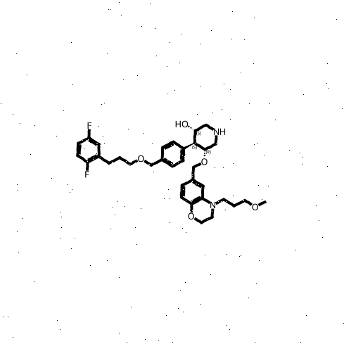 COCCCN1CCOc2ccc(CO[C@H]3CNC[C@@H](O)[C@@H]3c3ccc(COCCCc4cc(F)ccc4F)cc3)cc21